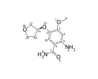 COc1cc(N)c(C(N)=O)cc1O[C@H]1CCOC1